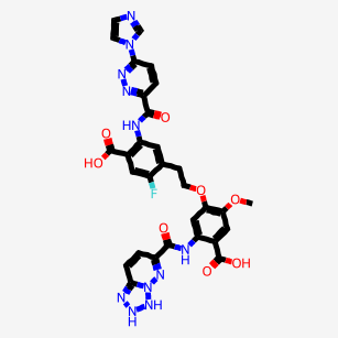 COc1cc(C(=O)O)c(NC(=O)C2=NN3NNN=C3C=C2)cc1OCCc1cc(NC(=O)c2ccc(-n3ccnc3)nn2)c(C(=O)O)cc1F